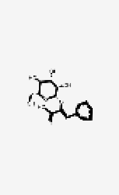 O=C(O)C(=Cc1ccccc1)O[C@@H]1O[C@H](CO)[C@@H](O)[C@H](O)[C@H]1O